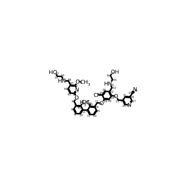 COc1nc(OCc2cccc(-c3cccc(COc4cc(OCc5cncc(C#N)c5)c(CNCCO)cc4Cl)c3C)c2C)ccc1CNCCO